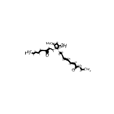 CCCCCC(=O)CC[C@H]1[C@@H](C=CC=CC=CC(=O)OCC)[C@H](O)C[C@@H]1O